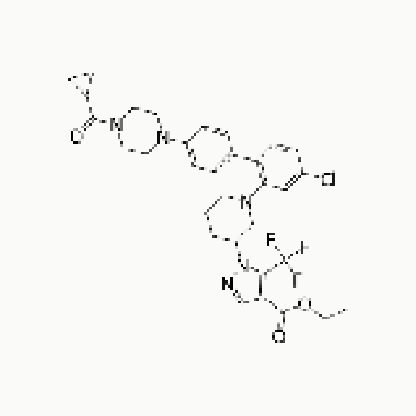 CCOC(=O)c1cnn(C2CCCN(c3cc(Cl)ccc3-c3ccc(N4CCN(C(=O)C5CC5)CC4)cc3)C2)c1C(F)(F)F